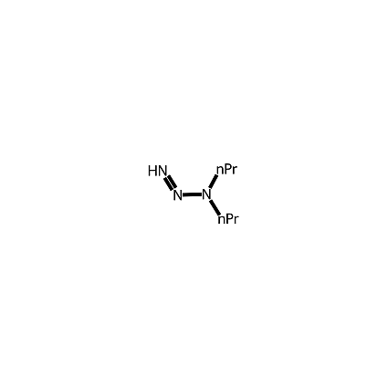 CCCN(CCC)N=N